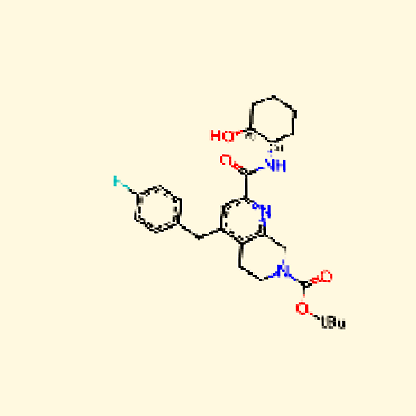 CC(C)(C)OC(=O)N1CCc2c(Cc3ccc(F)cc3)cc(C(=O)N[C@H]3CCCC[C@@H]3O)nc2C1